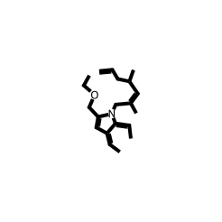 C=CCC(C)/C=C(/C)Cn1c(COCC)cc(=C/C)/c1=C\C